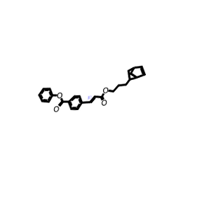 O=C(/C=C/c1ccc(C(=O)Oc2ccccc2)cc1)OCCCC1CC2C=CC1C2